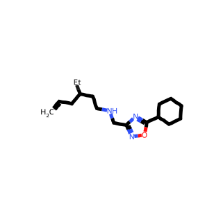 C=CCC(CC)CCNCc1noc(C2CCCCC2)n1